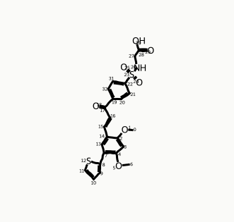 COc1cc(OC)c(-c2cccs2)cc1/C=C/C(=O)c1ccc(S(=O)(=O)NCC(=O)O)cc1